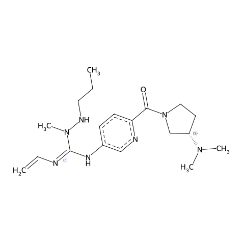 C=C/N=C(/Nc1ccc(C(=O)N2CC[C@H](N(C)C)C2)nc1)N(C)NCCC